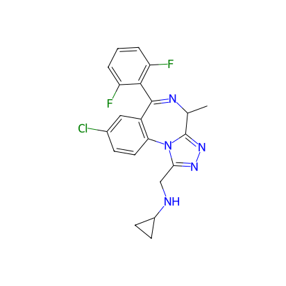 CC1N=C(c2c(F)cccc2F)c2cc(Cl)ccc2-n2c(CNC3CC3)nnc21